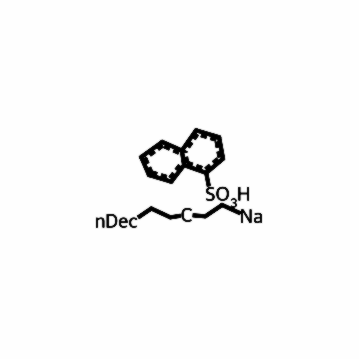 CCCCCCCCCCCCCC[CH2][Na].O=S(=O)(O)c1cccc2ccccc12